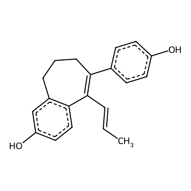 CC=CC1=C(c2ccc(O)cc2)CCCc2cc(O)ccc21